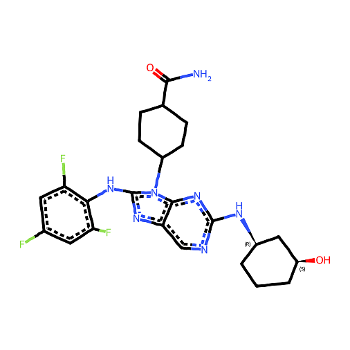 NC(=O)C1CCC(n2c(Nc3c(F)cc(F)cc3F)nc3cnc(N[C@@H]4CCC[C@H](O)C4)nc32)CC1